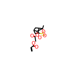 C=CC(=O)OCC(=O)OC1C2CC3C(C2)S(=O)(=O)OC31C